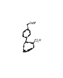 COCc1ccc(-c2ccccc2C(=O)O)cc1